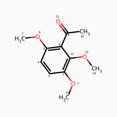 COc1ccc(OC)c(C(C)=O)c1OC